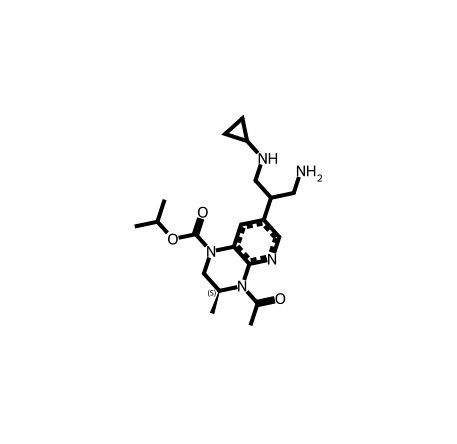 CC(=O)N1c2ncc(C(CN)CNC3CC3)cc2N(C(=O)OC(C)C)C[C@@H]1C